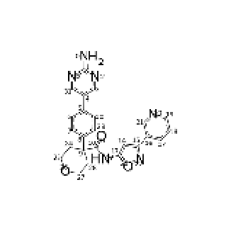 Nc1ncc(-c2ccc(C3(C(=O)Nc4cc(-c5cccnc5)no4)CCOCC3)cc2)cn1